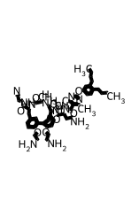 CCCCc1ccc(Oc2nc(C)c(C(=O)NC(CCN)C(=O)N(C)C3C(=O)NC(C)C(=O)NC(C(=O)NCC#N)Cc4ccc(OCCN)c(c4)-c4cc3ccc4OCCN)c(C)n2)cc1CCCC